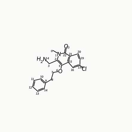 Cn1c(CN)c(OCCc2ccccc2)c2cc(Cl)ccc2c1=O